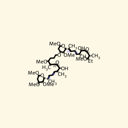 CC[C@H](OC)[C@@H](C)[C@@H]1O[C@H]1[C@H](O)[C@@H](C)/C=C/C=C(\C)[C@H]1O[C@@H](OC)C[C@H](OCCC[C@H](OC)[C@@H](C)[C@@H]2O[C@H]2[C@H](O)[C@@H](C)/C=C/C=C(\C)[C@H]2O[C@@H](OC)C[C@H](OC)[C@H]2OC)[C@@H]1OC